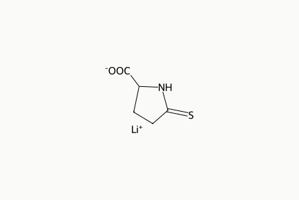 O=C([O-])C1CCC(=S)N1.[Li+]